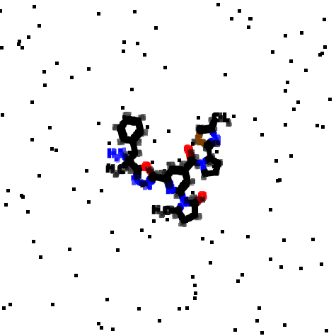 Cc1csc([C@H]2CCCN2C(=O)c2cc(-c3nnc(C(C)(N)Cc4ccccc4)o3)nc(N3C(=O)CCC3C)c2)n1